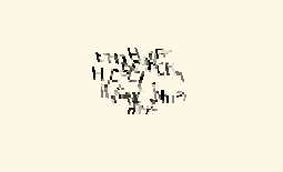 CCCN(C)CC(CN(C)CCC)(CN(C)CCC)C[Si](C)(C)OCC